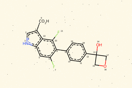 O=C(O)c1c[nH]c2cc(F)c(-c3ccc(C4(O)COC4)cc3)c(F)c12